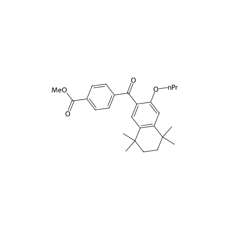 CCCOc1cc2c(cc1C(=O)c1ccc(C(=O)OC)cc1)C(C)(C)CCC2(C)C